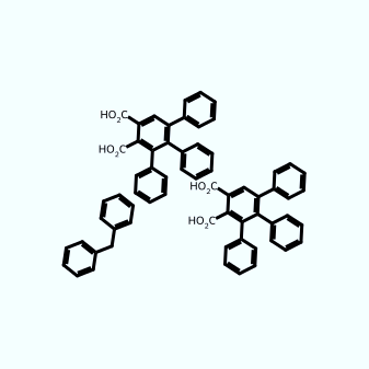 O=C(O)c1cc(-c2ccccc2)c(-c2ccccc2)c(-c2ccccc2)c1C(=O)O.O=C(O)c1cc(-c2ccccc2)c(-c2ccccc2)c(-c2ccccc2)c1C(=O)O.c1ccc(Cc2ccccc2)cc1